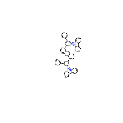 c1ccc(-c2cc(-c3cccc4cc5c(-c6cc(-c7ccccc7)cc(-n7c8ccccc8c8ccccc87)c6)cccc5cc34)cc(-n3c4ccccc4c4ccccc43)c2)cc1